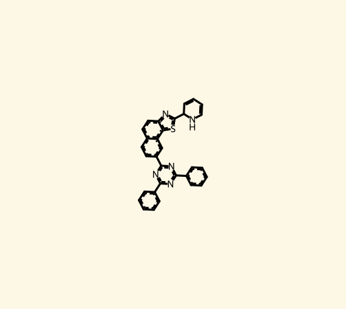 C1=CNC(c2nc3ccc4ccc(-c5nc(-c6ccccc6)nc(-c6ccccc6)n5)cc4c3s2)C=C1